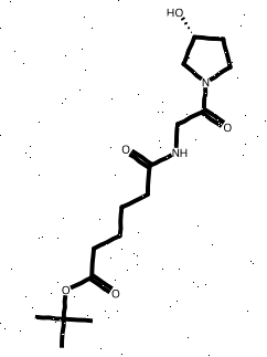 CC(C)(C)OC(=O)CCCCC(=O)NCC(=O)N1CC[C@@H](O)C1